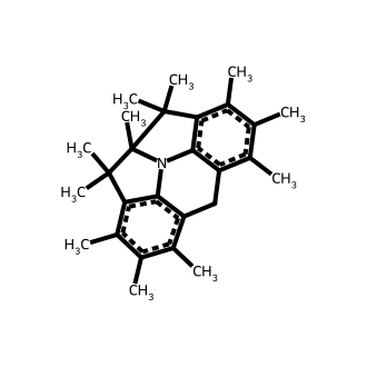 Cc1c(C)c2c3c(c1C)C(C)(C)C1(C)N3c3c(c(C)c(C)c(C)c3C1(C)C)C2